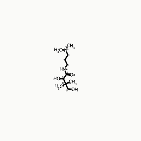 CN(C)CCCNC(=O)C(O)C(C)(C)CO